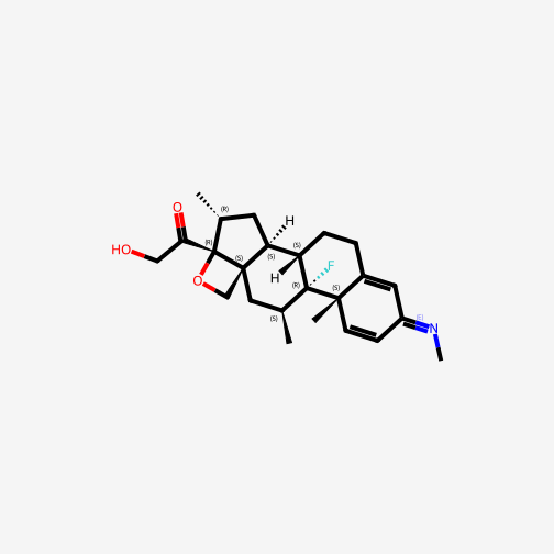 C/N=C1\C=C[C@@]2(C)C(=C1)CC[C@H]1[C@@H]3C[C@@H](C)[C@@]4(C(=O)CO)OC[C@]34C[C@H](C)[C@@]12F